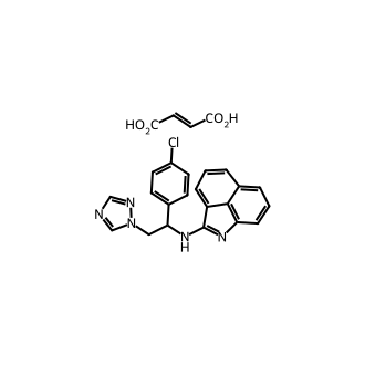 Clc1ccc(C(Cn2cncn2)NC2=Nc3cccc4cccc2c34)cc1.O=C(O)C=CC(=O)O